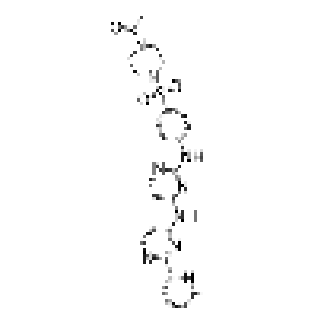 CC(=O)N1CCN(S(=O)(=O)c2ccc(Nc3nccc(Nc4ccnc(-c5cccc(C)n5)n4)n3)cc2)CC1